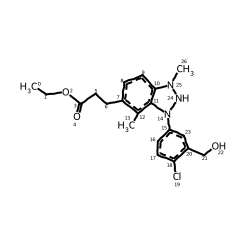 CCOC(=O)CCc1ccc2c(c1C)N(c1ccc(Cl)c(CO)c1)NN2C